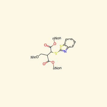 CCCCCCCCCOC(=O)C(COC)C(Sc1nc2ccccc2s1)C(=O)OCCCCCCCCC